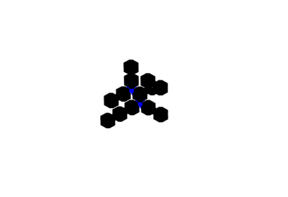 c1ccc(-c2ccc(-c3ccc(N(c4ccc(-c5ccccc5)cc4)c4cc(-c5cc6ccccc6c6ccccc56)cc(N(c5ccc(-c6ccccc6)cc5)c5ccc(-c6ccccc6)cc5)c4)cc3)cc2)cc1